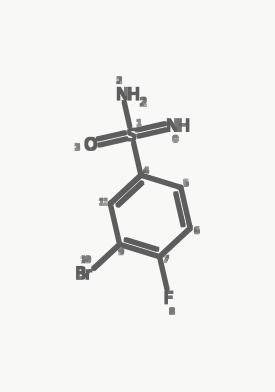 N=S(N)(=O)c1ccc(F)c(Br)c1